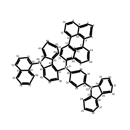 c1ccc(-c2cccc3cccc(-c4ccc(N(c5ccc(-n6c7ccccc7c7ccccc76)cc5)c5cccc6c5c5ccccc5n6-c5cccc6ccccc56)cc4)c23)cc1